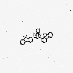 CC1(C)c2ccccc2-c2ccc(-c3cc(-c4cccc5c4oc4ccccc45)nc(Cl)n3)cc21